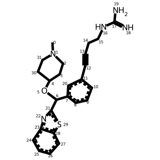 CN1CCC(OC(c2cccc(C#CCCNC(=N)N)c2)c2nc3ccccc3s2)CC1